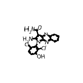 NC(=O)c1c(N)n(-c2c(Cl)ccc(O)c2Cl)c2nc3ccccc3nc12